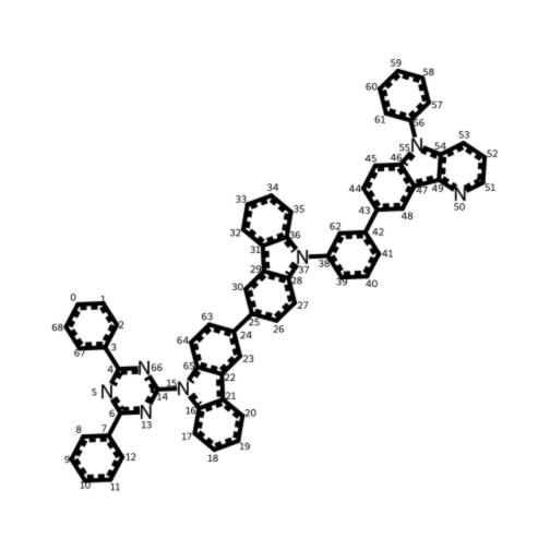 c1ccc(-c2nc(-c3ccccc3)nc(-n3c4ccccc4c4cc(-c5ccc6c(c5)c5ccccc5n6-c5cccc(-c6ccc7c(c6)c6ncccc6n7-c6ccccc6)c5)ccc43)n2)cc1